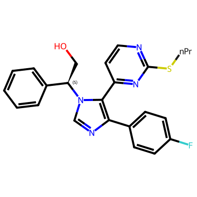 CCCSc1nccc(-c2c(-c3ccc(F)cc3)ncn2[C@H](CO)c2ccccc2)n1